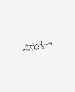 CN[C@@H](Cc1ccc(NC(=O)CCC(C)C)cc1)C(=O)C(C)C